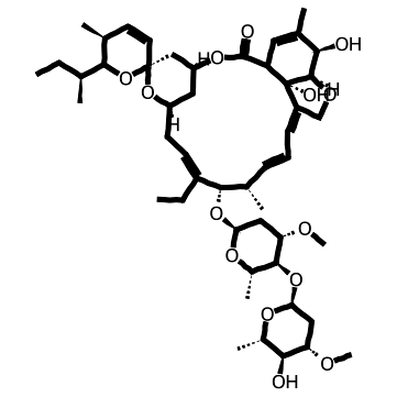 CC/C1=C\C[C@@H]2C[C@@H](C[C@]3(C=C[C@H](C)C([C@@H](C)CC)O3)O2)OC(=O)C2C=C(C)[C@@H](O)[C@H]3OC/C(=C\C=C\[C@H](C)[C@@H]1O[C@H]1C[C@H](OC)[C@@H](O[C@H]4C[C@H](OC)[C@@H](O)[C@H](C)O4)[C@H](C)O1)[C@@]23O